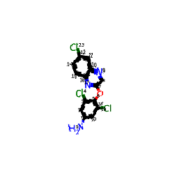 Nc1cc(Cl)c(Oc2cnc3cc(Cl)ccc3n2)c(Cl)c1